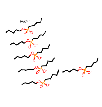 CCCCCOP(=O)([O-])CCCCC.CCCCCOP(=O)([O-])CCCCC.CCCCCOP(=O)([O-])CCCCC.CCCCCOP(=O)([O-])CCCCC.CCCCCOP(=O)([O-])CCCCC.CCCCCOP(=O)([O-])CCCCC.[Mo+6]